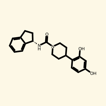 O=C(N[C@H]1CCc2ccccc21)N1CCC(c2ccc(O)cc2O)CC1